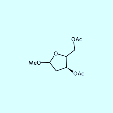 COC1C[C@H](OC(C)=O)C(COC(C)=O)O1